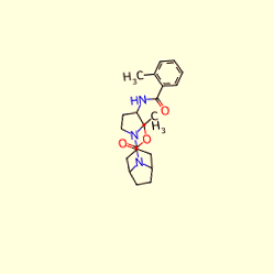 CCOC(=O)N1C2CCC1CC(N1CCC(NC(=O)c3ccccc3C)C1)C2